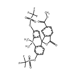 COC(=O)c1ccc2c(c1)C1(OC2=O)c2ccc(OS(=O)(=O)C(F)(F)F)cc2S(C)(C)c2cc(OS(=O)(=O)C(F)(F)F)ccc21